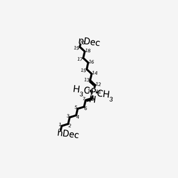 CCCCCCCCCCCCCCCCC=C[PH](C)(C)C=CCCCCCCCCCCCCCCCC